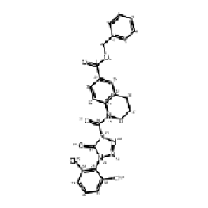 O=C(OCc1ccccc1)c1ccc2c(c1)CCCN2C(=O)n1nnn(-c2c(Cl)cccc2Cl)c1=O